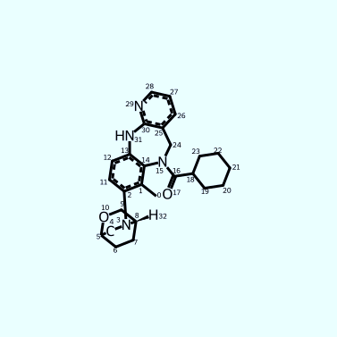 Cc1c(N2CC3CC[C@H]2CO3)ccc2c1N(C(=O)C1CCCCC1)Cc1cccnc1N2